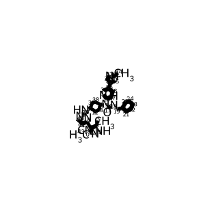 Cc1n[nH]c(C)c1-c1nc(NC2CCC(N(C(=O)NCc3ccccc3)c3ccc(-c4cnn(C)c4)cn3)CC2)ncc1C#N